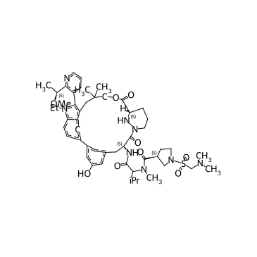 CCn1c(-c2cccnc2[C@H](C)OC)c2c3cc(ccc31)-c1cc(O)cc(c1)C[C@H](NC(=O)C(C(C)C)N(C)C(=O)[C@H]1CCN(S(=O)(=O)CN(C)C)C1)C(=O)N1CCC[C@H](N1)C(=O)OCC(C)(C)C2